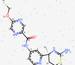 C[C@@]1(c2cc(NC(=O)c3cnc(OCF)cn3)ccn2)CCSC(N)=N1